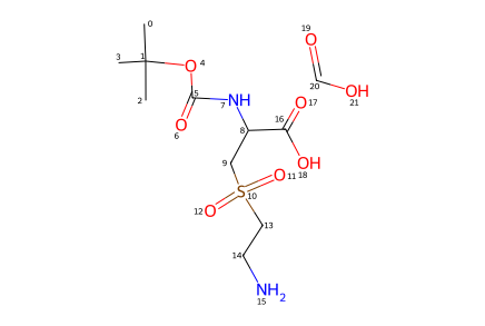 CC(C)(C)OC(=O)NC(CS(=O)(=O)CCN)C(=O)O.O=CO